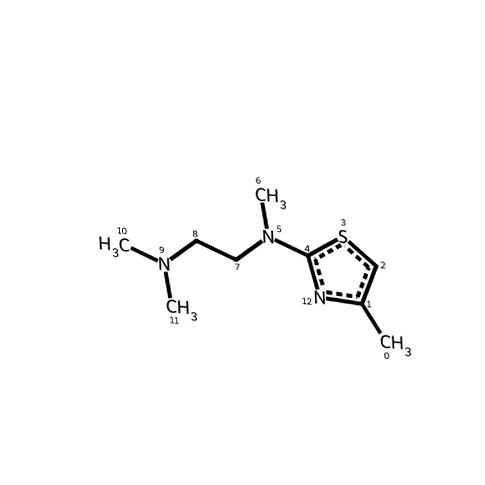 Cc1csc(N(C)CCN(C)C)n1